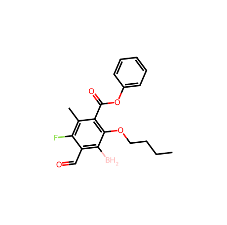 Bc1c(C=O)c(F)c(C)c(C(=O)Oc2ccccc2)c1OCCCC